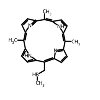 CBCc1c2nc(c(C)c3ccc([nH]3)c(C)c3nc(c(C)c4ccc1[nH]4)C=C3)C=C2